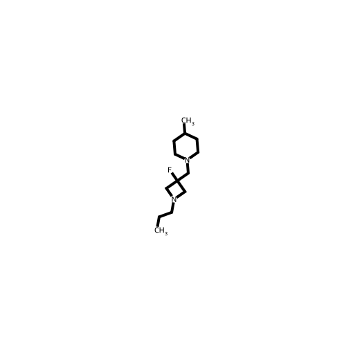 CCCN1CC(F)(CN2CCC(C)CC2)C1